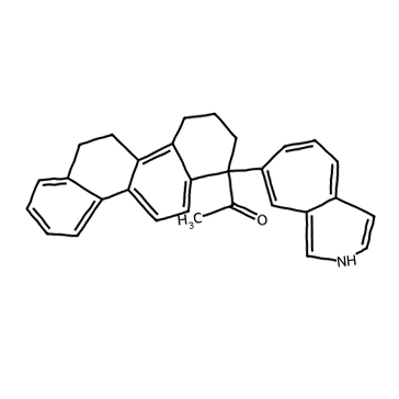 CC(=O)C1(C2=CC3=CNC=CC3=CC=C2)CCCc2c1ccc1c2CCc2ccccc2-1